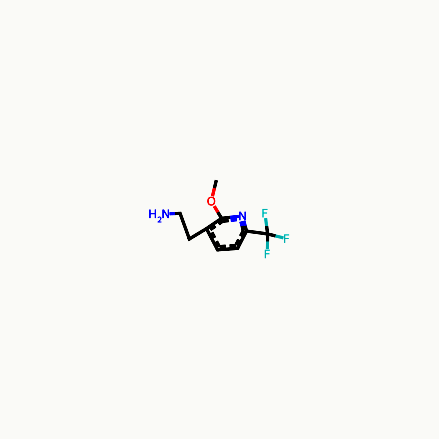 COc1nc(C(F)(F)F)ccc1CCN